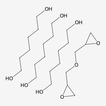 C(OCC1CO1)C1CO1.OCCCCCCO.OCCCCCCO.OCCCCCCO